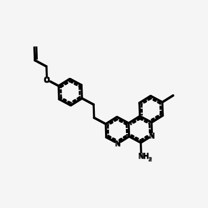 C=CCOc1ccc(CCc2cnc3c(N)nc4cc(C)ccc4c3c2)cc1